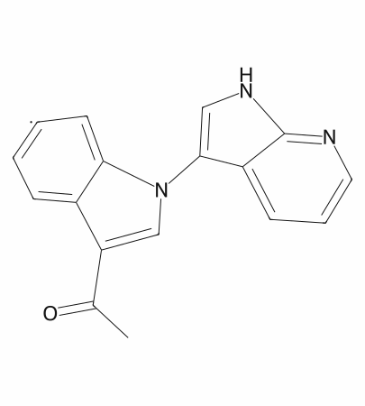 CC(=O)c1cn(-c2c[nH]c3ncccc23)c2c[c]ccc12